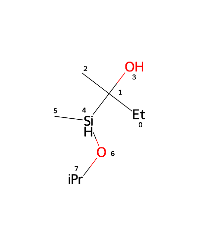 CCC(C)(O)[SiH](C)OC(C)C